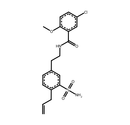 C=CCc1ccc(CCNC(=O)c2cc(Cl)ccc2OC)cc1S(N)(=O)=O